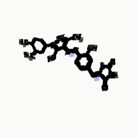 Cc1nn(C2CCC(C)C(C)C2)c(O)c1/N=N/c1ccc(/C=C2\SC(=O)NC2=O)cc1O